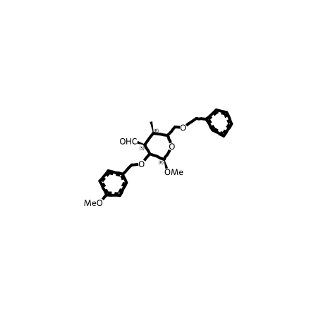 COc1ccc(COC2[C@H](OC)OC(COCc3ccccc3)[C@H](C)[C@@H]2C=O)cc1